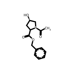 CC(=O)N1C[C@H](O)CC1C(=O)OCc1ccccc1